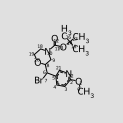 COc1ccc(C(Br)C2CN(C(=O)OC(C)(C)C)CCO2)cn1